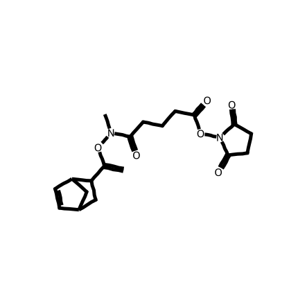 C=C(ON(C)C(=O)CCCC(=O)ON1C(=O)CCC1=O)C1CC2C=CC1C2